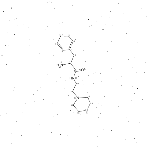 NC(CC1=CCCC=C1)C(=O)NCCN1CCOCC1